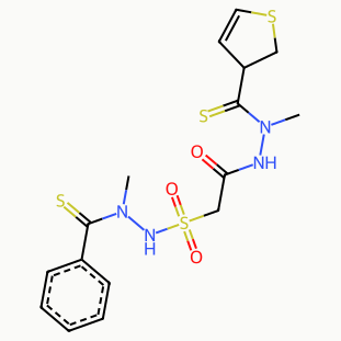 CN(NS(=O)(=O)CC(=O)NN(C)C(=S)C1C=CSC1)C(=S)c1ccccc1